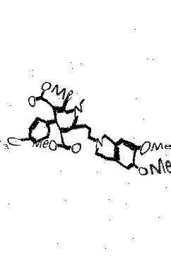 COC(=O)C1=C(C)N(C)C(CCN2CCc3cc(OC)c(OC)cc3C2)=C(C(=O)OC)C1c1ccc(C(F)(F)F)cc1